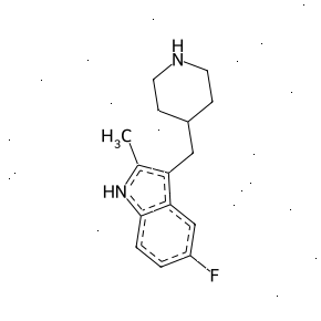 Cc1[nH]c2ccc(F)cc2c1CC1CCNCC1